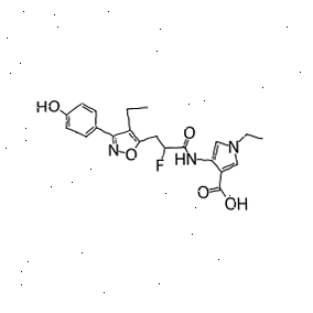 CCc1c(-c2ccc(O)cc2)noc1CC(F)C(=O)Nc1cn(CC)cc1C(=O)O